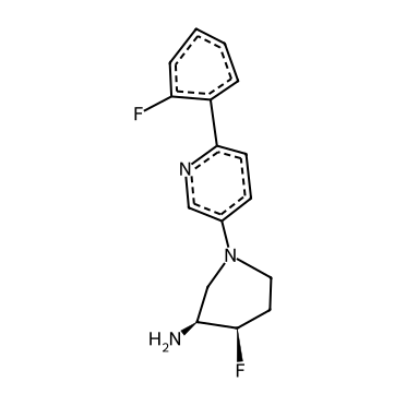 N[C@H]1CN(c2ccc(-c3ccccc3F)nc2)CC[C@H]1F